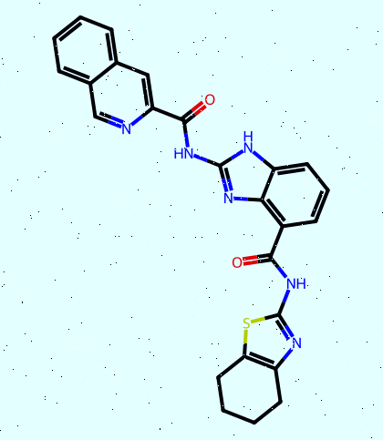 O=C(Nc1nc2c(C(=O)Nc3nc4c(s3)CCCC4)cccc2[nH]1)c1cc2ccccc2cn1